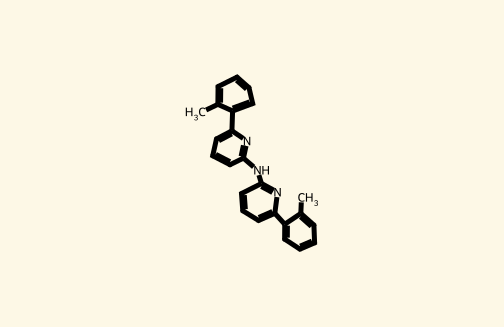 Cc1ccccc1-c1cccc(Nc2cccc(-c3ccccc3C)n2)n1